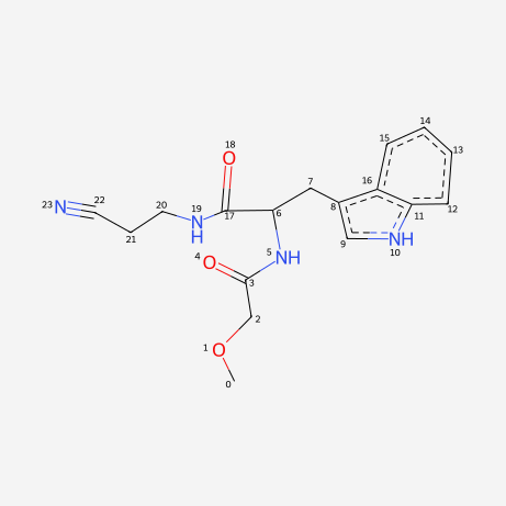 COCC(=O)NC(Cc1c[nH]c2ccccc12)C(=O)NCCC#N